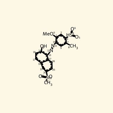 COc1cc([SH](=O)=O)c(C)cc1N=Nc1c(O)ccc2cc(S(C)(=O)=O)ccc12